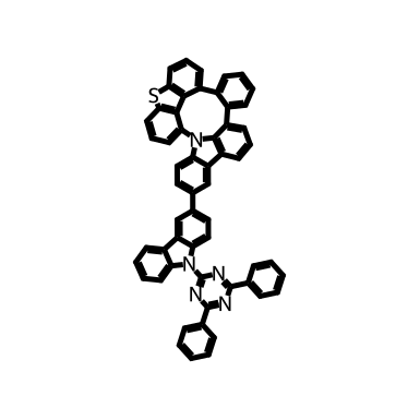 c1ccc(-c2nc(-c3ccccc3)nc(-n3c4ccccc4c4cc(-c5ccc6c(c5)c5cccc7c8ccccc8c8cccc9sc%10cccc(c%10c98)n6c75)ccc43)n2)cc1